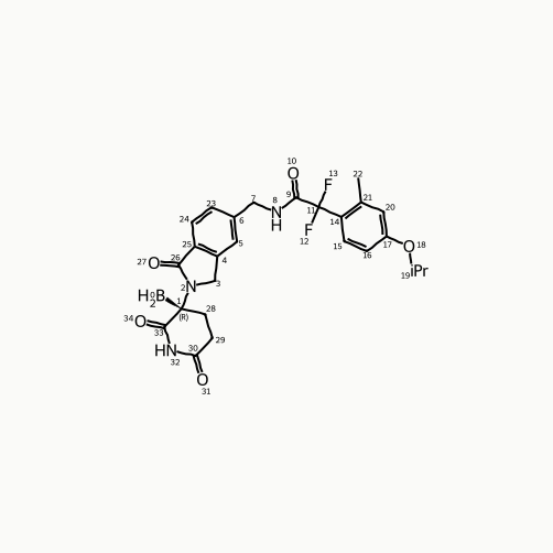 B[C@@]1(N2Cc3cc(CNC(=O)C(F)(F)c4ccc(OC(C)C)cc4C)ccc3C2=O)CCC(=O)NC1=O